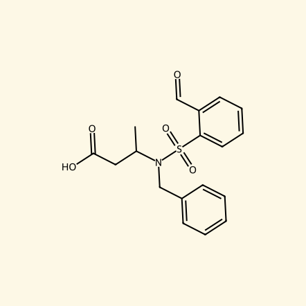 CC(CC(=O)O)N(Cc1ccccc1)S(=O)(=O)c1ccccc1C=O